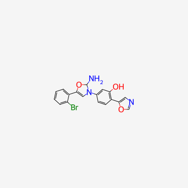 NC1OC(c2ccccc2Br)=CN1c1ccc(-c2cnco2)c(O)c1